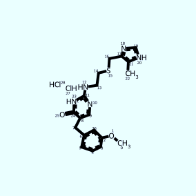 COc1cccc(Cc2cnc(NCCSCc3nc[nH]c3C)[nH]c2=O)c1.Cl.Cl